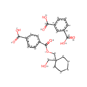 O=C(O)c1ccc(C(=O)OCC2(CO)CCCCC2)cc1.O=C(O)c1cccc(C(=O)O)c1